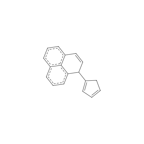 C1=CCC(C2C=Cc3cccc4cccc2c34)=C1